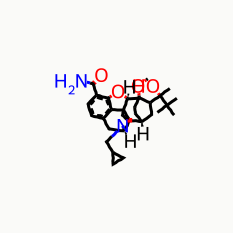 COC12CC[C@H](CC1C(C)(O)C(C)(C)C)C1[C@H]3Cc4ccc(C(N)=O)c5c4C1(CCN3CC1CC1)[C@H]2O5